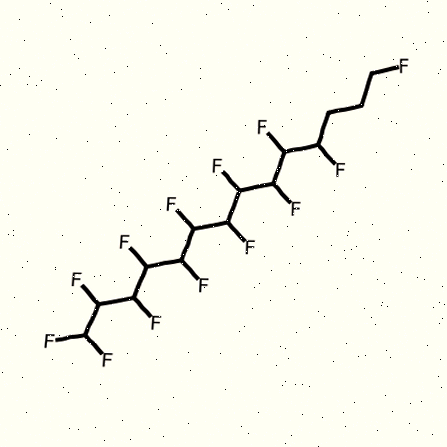 FCCCC(F)C(F)C(F)C(F)C(F)C(F)C(F)C(F)C(F)C(F)C(F)F